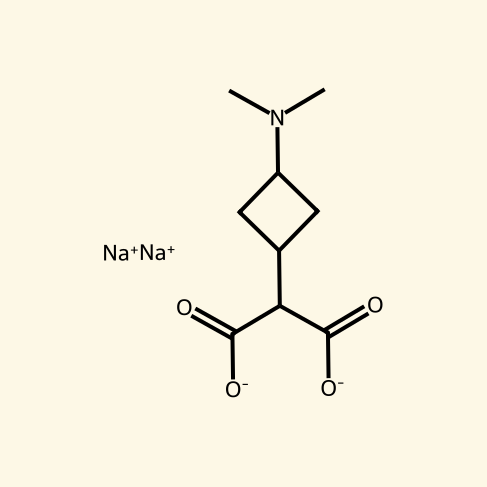 CN(C)C1CC(C(C(=O)[O-])C(=O)[O-])C1.[Na+].[Na+]